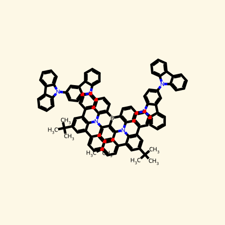 CC(C)c1cc2c3c(c1)N(c1c(-c4ccccc4)cc(C(C)(C)C)cc1-c1ccccc1)c1cc(-n4c5ccccc5c5cc(-n6c7ccccc7c7ccccc76)ccc54)ccc1B3c1ccc(-n3c4ccccc4c4cc(-n5c6ccccc6c6ccccc65)ccc43)cc1N2c1c(-c2ccccc2)cc(C(C)(C)C)cc1-c1ccccc1